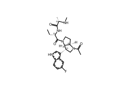 CC[C@H](NC(=O)[C@H](C)NC)C(=O)N1CC[C@@H]2[C@H]1[C@@H](c1c[nH]c3ccc(F)cc13)CN2C(C)=O